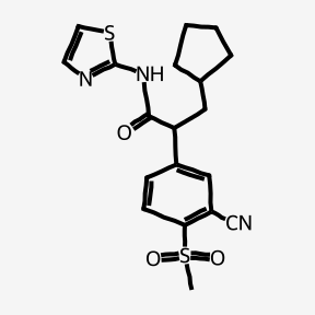 CS(=O)(=O)c1ccc(C(CC2CCCC2)C(=O)Nc2nccs2)cc1C#N